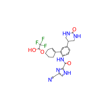 N#Cc1c[nH]c(C(=O)Nc2ccc(C3CNC(=O)NC3)cc2C2=CCCCC2)n1.O=C(O)C(F)(F)F